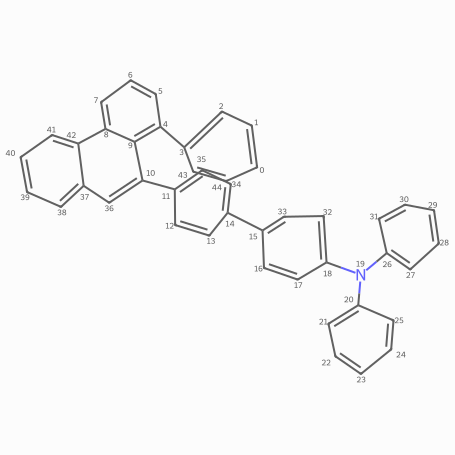 c1ccc(-c2cccc3c2c(-c2ccc(-c4ccc(N(c5ccccc5)c5ccccc5)cc4)cc2)cc2ccccc23)cc1